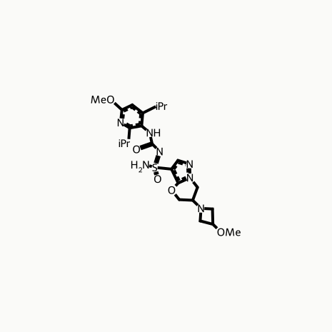 COc1cc(C(C)C)c(NC(=O)N=S(N)(=O)c2cnn3c2OCC(N2CC(OC)C2)C3)c(C(C)C)n1